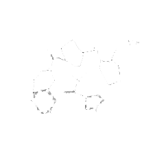 COC1COCCC1NC1CC[C@](CN(C)C(=O)n2ccnc2)(C(=O)N2CCc3ncc(C(F)(F)F)cc3C2)C1